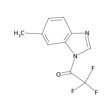 Cc1ccc2ncn(C(=O)C(F)(F)F)c2c1